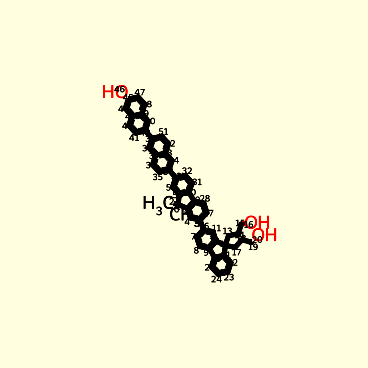 CC1(C)c2cc(-c3ccc4c(c3)C(CCCO)(CCCO)c3ccccc3-4)ccc2-c2ccc(-c3ccc4cc(-c5ccc6cc(O)ccc6c5)ccc4c3)cc21